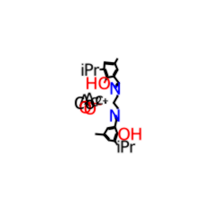 CC(=O)[O-].CC(=O)[O-].Cc1cc(C=NCCCN=Cc2cc(C)cc(C(C)C)c2O)c(O)c(C(C)C)c1.[Co+2]